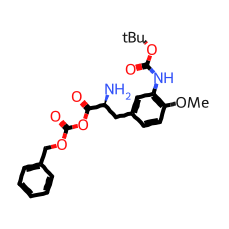 COc1ccc(C[C@H](N)C(=O)OC(=O)OCc2ccccc2)cc1NC(=O)OC(C)(C)C